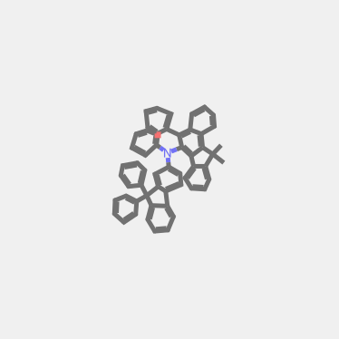 CC1(C)c2ccccc2-c2c(N(c3ccccc3)c3ccc4c(c3)C(c3ccccc3)(c3ccccc3)c3ccccc3-4)c(-c3ccccc3)c3ccccc3c21